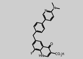 CN(C)c1ccc(-c2ccc(Cc3cc(F)c4[nH]cc(C(=O)O)c(=O)c4c3)cc2)cn1